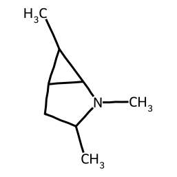 CC1C2CC(C)N(C)C12